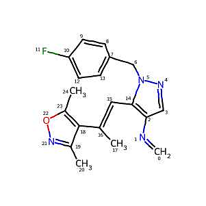 C=Nc1cnn(Cc2ccc(F)cc2)c1/C=C(\C)c1c(C)noc1C